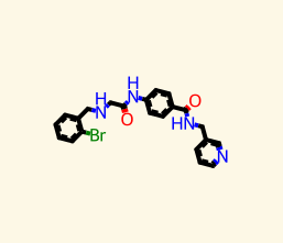 O=C(CNCc1ccccc1Br)Nc1ccc(C(=O)NCc2cccnc2)cc1